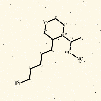 CC(C)CCCCCC1COCCN1C(C)O[N+](=O)[O-]